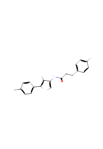 O=C(CCc1ccc(F)cc1)Nc1csc(-c2ccc(Cl)cc2)c1C(=O)O